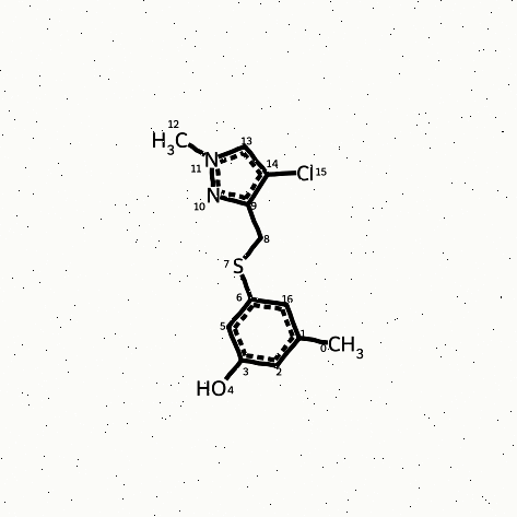 Cc1cc(O)cc(SCc2nn(C)cc2Cl)c1